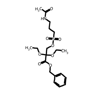 CCOC(COS(=O)(=O)CCCNC(C)=O)(OCC)C(=O)OCc1ccccc1